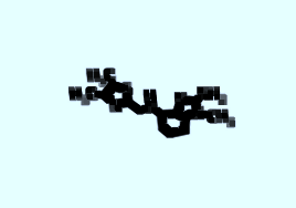 Cc1nc(CNc2cccc3c2nc(N)n3C)sc1C